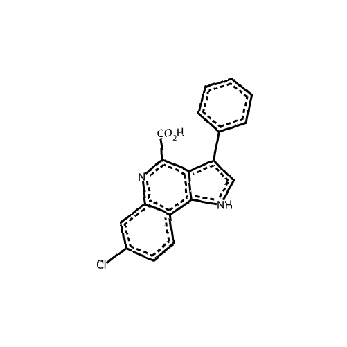 O=C(O)c1nc2cc(Cl)ccc2c2[nH]cc(-c3ccccc3)c12